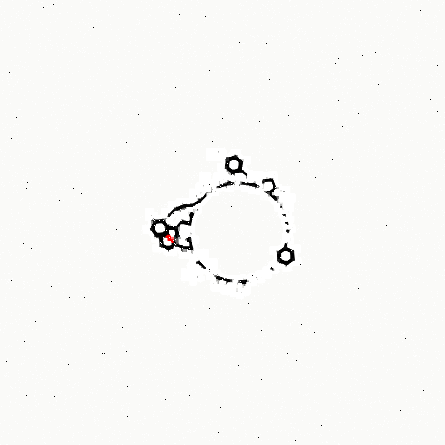 C[C@@H]1NC(=O)CCSCc2cccc(c2)CSCCNC(=O)[C@]2(C)CCCN2C(=O)[C@H](Cc2ccc(O)cc2)NC(=O)[C@H](C)NC(=O)[C@@H]2C/C=C\COc3cccc(c3)C[C@@H](NC(=O)[C@@H](C)NC1=O)C(=O)N/C(=C\c1c[nH]c3ccc(F)cc13)C(=O)N2